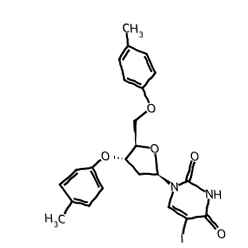 Cc1ccc(OC[C@H]2O[C@@H](n3cc(I)c(=O)[nH]c3=O)C[C@@H]2Oc2ccc(C)cc2)cc1